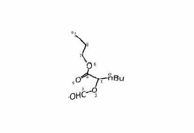 CCCCC(O[C]=O)C(=O)OCCI